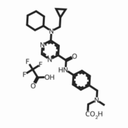 CN(CC(=O)O)Cc1ccc(NC(=O)c2cc(N(CC3CC3)C3CCCCC3)ncn2)cc1.O=C(O)C(F)(F)F